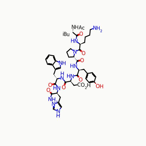 CC[C@H](C)[C@H](NC(C)=O)C(=O)N[C@@H](CCCCN)C(=O)N1CCC[C@H]1C(=O)N[C@@H](Cc1ccc(O)cc1)C(=O)N[C@@H](CC(=O)O)C(=O)N[C@@H](Cc1c[nH]c2ccccc12)C(=O)N[C@@H](Cc1c[nH]cn1)C(N)=O